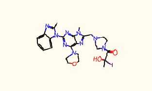 Cc1nc2ccccc2n1-c1nc(N2CCOCC2)c2nc(CN3CCN(C(=O)C(C)(O)I)CC3)n(C)c2n1